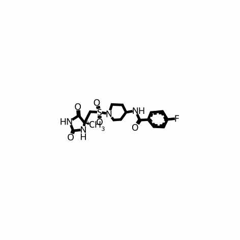 C[C@@]1(CS(=O)(=O)N2CCC(NC(=O)c3ccc(F)cc3)CC2)NC(=O)NC1=O